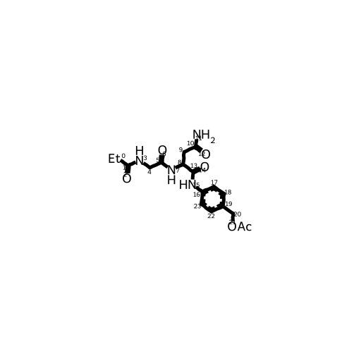 CCC(=O)NCC(=O)NC(CC(N)=O)C(=O)Nc1ccc(COC(C)=O)cc1